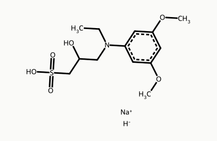 CCN(CC(O)CS(=O)(=O)O)c1cc(OC)cc(OC)c1.[H-].[Na+]